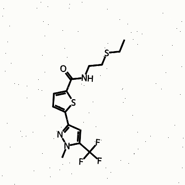 CCSCCNC(=O)c1ccc(-c2cc(C(F)(F)F)n(C)n2)s1